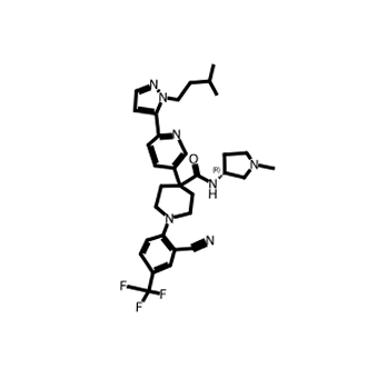 CC(C)CCn1nccc1-c1ccc(C2(C(=O)N[C@@H]3CCN(C)C3)CCN(c3ccc(C(F)(F)F)cc3C#N)CC2)cn1